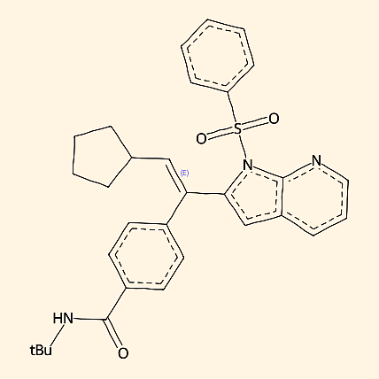 CC(C)(C)NC(=O)c1ccc(/C(=C\C2CCCC2)c2cc3cccnc3n2S(=O)(=O)c2ccccc2)cc1